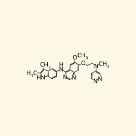 COc1cc2c(Nc3ccc4[nH]c(C)c(C)c4c3)ncnc2cc1OCCN(C)c1ccnnc1